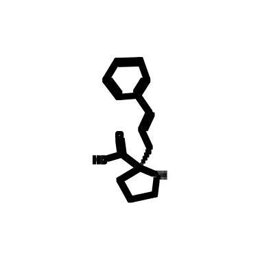 O=C(O)[C@]1(CC=Cc2ccccc2)CCCN1